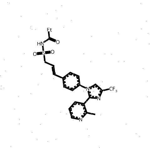 CCC(=O)NS(=O)(=O)CC=Cc1ccc(-n2cc(C(F)(F)F)nc2-c2cccnc2C)cc1